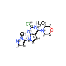 C[C@@H]1COCCN1c1nc(Cl)nc2c1ccn2-c1ccnn1C